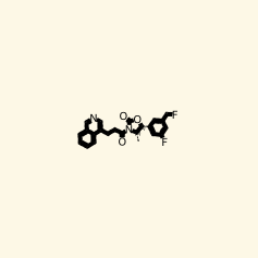 C[C@H]1[C@@H](c2cc(F)cc(CF)c2)OC(=O)N1C(=O)CCc1cncc2ccccc12